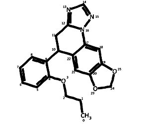 CCCOc1ccccc1C1Cc2ncnn2-c2cc3c(cc21)OCO3